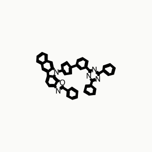 c1ccc(-c2nc(-c3ccccc3)nc(-c3cccc(-c4ccc(-n5c6cc7ccccc7cc6c6ccc7nc(-c8ccccc8)oc7c65)cc4)c3)n2)cc1